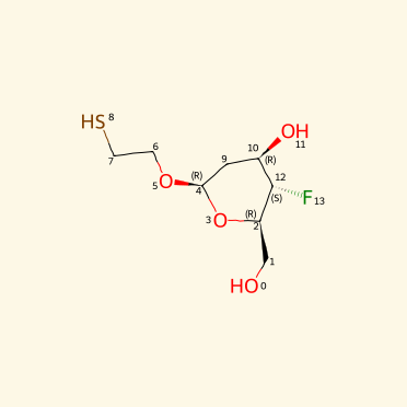 OC[C@H]1O[C@@H](OCCS)C[C@@H](O)[C@@H]1F